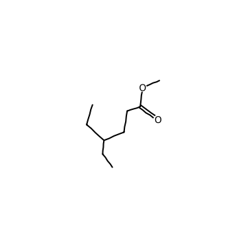 CCC(CC)CCC(=O)OC